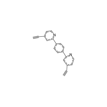 C#Cc1ccnc(-c2ccc(-c3cc(C#C)ccn3)cc2)c1